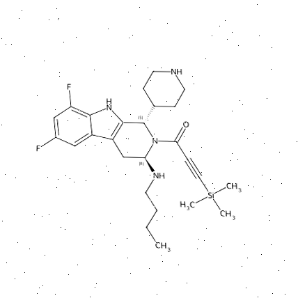 CCCCN[C@H]1Cc2c([nH]c3c(F)cc(F)cc23)[C@H](C2CCNCC2)N1C(=O)C#C[Si](C)(C)C